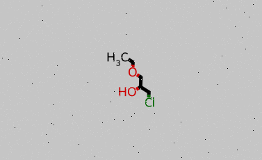 CCOCC(O)CCl